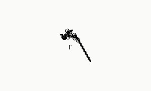 CCCCCCCCCCCCCCCCOCC1COC(COC(=O)N(Cc2cccc[n+]2CC)C(=O)OCC)O1.[I-]